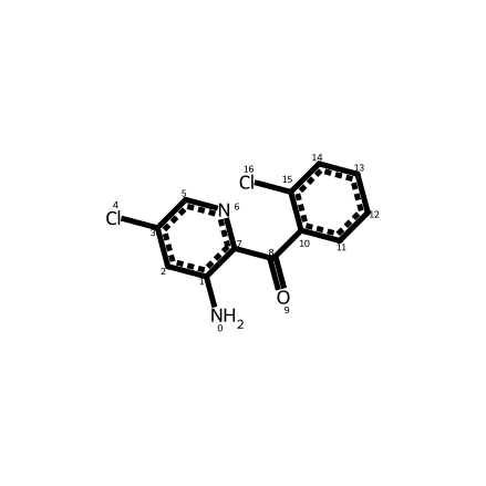 Nc1cc(Cl)cnc1C(=O)c1ccccc1Cl